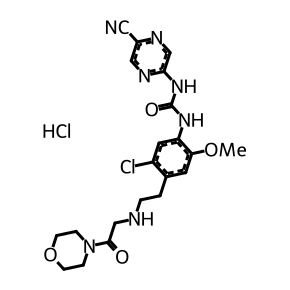 COc1cc(CCNCC(=O)N2CCOCC2)c(Cl)cc1NC(=O)Nc1cnc(C#N)cn1.Cl